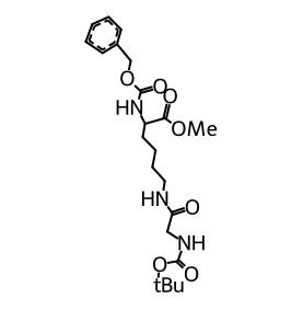 COC(=O)C(CCCCNC(=O)CNC(=O)OC(C)(C)C)NC(=O)OCc1ccccc1